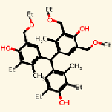 CCOCc1cc(C(c2cc(CC)c(O)c(CC)c2C)c2cc(COCC)c(O)c(COCC)c2C)c(C)c(CC)c1O